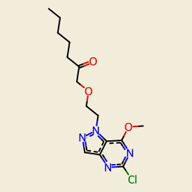 CCCCCC(=O)COCCn1ncc2nc(Cl)nc(OC)c21